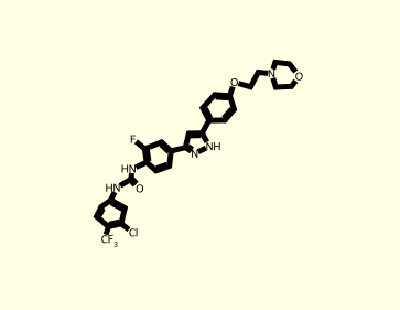 O=C(Nc1ccc(C(F)(F)F)c(Cl)c1)Nc1ccc(-c2cc(-c3ccc(OCCN4CCOCC4)cc3)[nH]n2)cc1F